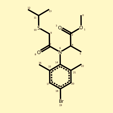 COC(=O)C(C)N(C(=O)CSC(C)C)c1c(C)cc(Br)cc1C